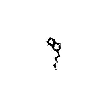 O=COCCc1cnc2ccccc2n1